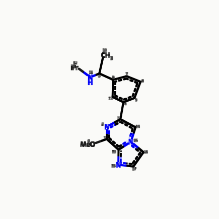 COc1nc(-c2cccc(C(C)NC(C)C)c2)cn2ccnc12